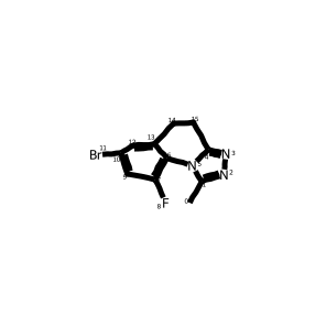 Cc1nnc2n1-c1c(F)cc(Br)cc1CC2